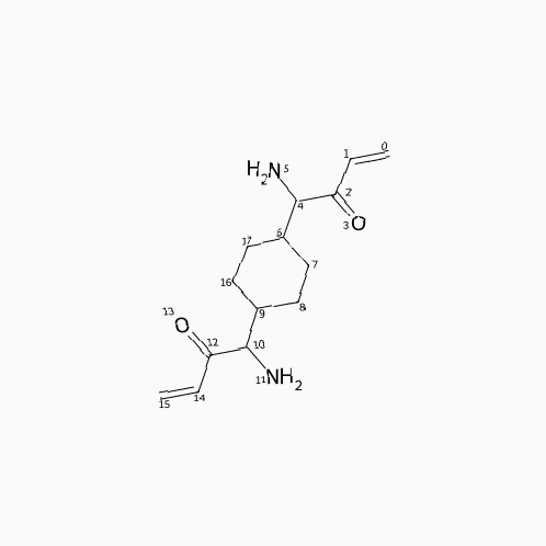 C=CC(=O)C(N)C1CCC(C(N)C(=O)C=C)CC1